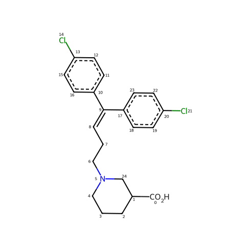 O=C(O)C1CCCN(CCC=C(c2ccc(Cl)cc2)c2ccc(Cl)cc2)C1